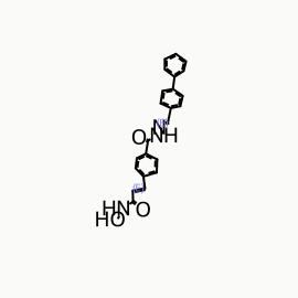 O=C(/C=C/c1ccc(C(=O)N/N=C/c2ccc(-c3ccccc3)cc2)cc1)NO